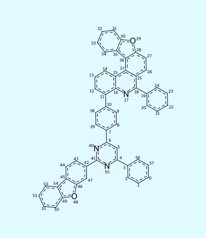 c1ccc(-c2cc(-c3ccc(-c4cccc5c4nc(-c4ccccc4)c4ccc6oc7ccccc7c6c45)cc3)nc(-c3ccc4c(c3)oc3ccccc34)n2)cc1